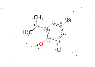 CC(C)n1cc(Br)cc(Cl)c1=O